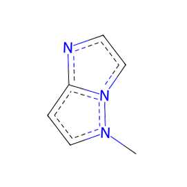 Cn1ccc2nccn21